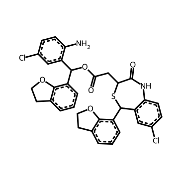 Nc1ccc(Cl)cc1C(OC(=O)CC1SC(c2cccc3c2OCC3)c2cc(Cl)ccc2NC1=O)c1cccc2c1OCC2